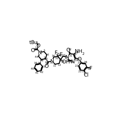 CC(C)(C)OC(=O)N1CC[C@@H](C(=O)N2CC[C@](O)(Cn3cnc(Oc4ccc(Cl)c(F)c4)c(N)c3=O)C(F)(F)C2)[C@H](c2ccccc2)C1